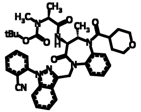 C[C@@H](C(=O)N[C@@H]1C(=O)N(Cc2nn(-c3ccccc3C#N)c3ccccc23)c2ccccc2N(C(=O)C2CCOCC2)[C@H]1C)N(C)C(=O)OC(C)(C)C